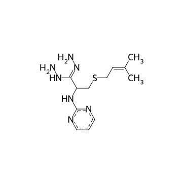 CC(C)=CCSCC(Nc1ncccn1)/C(=N/N)NN